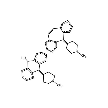 CN1CCC(=C2c3ccccc3C(O)c3ccccc32)CC1.CN1CCC(=C2c3ccccc3C=Cc3ccccc32)CC1